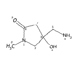 CN1CC(O)(CN)CC1=O